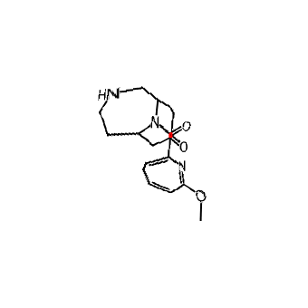 COc1cccc(C(=O)N2C3CCNCC2CC(=O)C3)n1